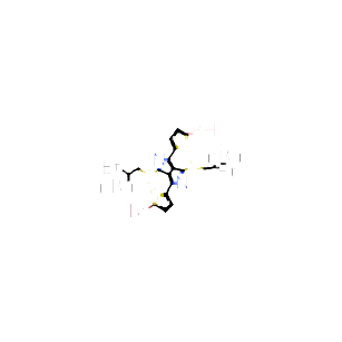 Bc1ccc(C2=C3C(SCC(CC)CCCC)=NC(c4ccc(Br)s4)=C3C(SCC(CC)CCCC)=N2)s1